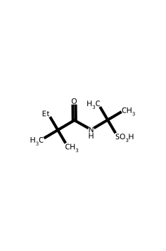 CCC(C)(C)C(=O)NC(C)(C)S(=O)(=O)O